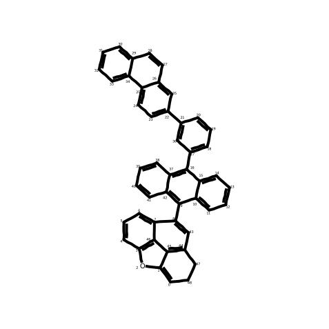 C1=c2oc3cccc4c(-c5c6ccccc6c(-c6cccc(-c7ccc8c(ccc9ccccc98)c7)c6)c6ccccc56)cc(c2c34)CC1